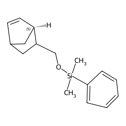 C[Si](C)(OCC1CC2C=C[C@@H]1C2)c1ccccc1